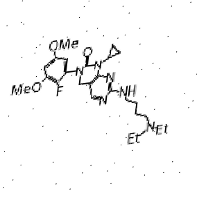 CCN(CC)CCCCNc1ncc2c(n1)N(C1CC1)C(=O)N(c1cc(OC)cc(OC)c1F)C2